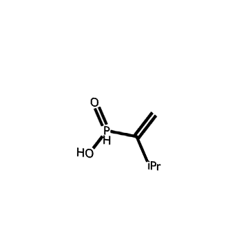 C=C(C(C)C)[PH](=O)O